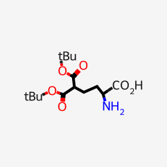 CC(C)(C)OC(=O)C(CCC(N)C(=O)O)C(=O)OC(C)(C)C